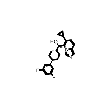 O[C@@H](c1c(C2CC2)ccc2cncn12)[C@H]1CC[C@H](c2cc(F)cc(F)c2)CC1